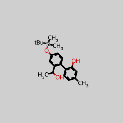 Cc1ccc(-c2ccc(O[Si](C)(C)C(C)(C)C)cc2C(C)O)c(O)c1